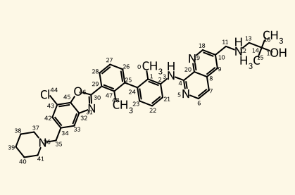 Cc1c(Nc2nccc3cc(CNCC(C)(C)O)cnc23)cccc1-c1cccc(-c2nc3cc(CN4CCCCC4)cc(Cl)c3o2)c1C